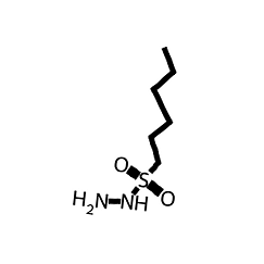 CCCCCCS(=O)(=O)NN